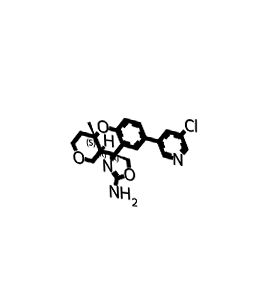 C[C@]12CCOC[C@H]1[C@]1(COC(N)=N1)c1cc(-c3cncc(Cl)c3)ccc1O2